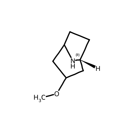 COC1CC2CC[C@H](C1)N2